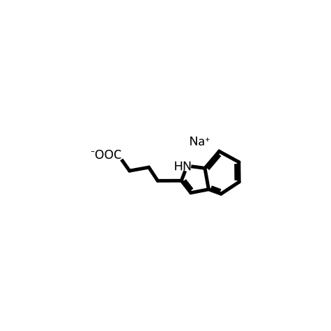 O=C([O-])CCCc1cc2ccccc2[nH]1.[Na+]